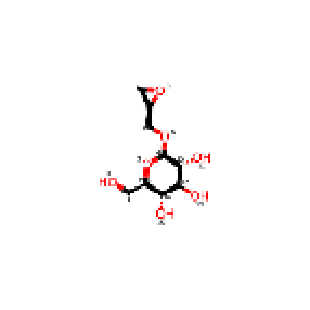 OC[C@H]1OC(OCC2CO2)[C@H](O)[C@@H](O)[C@@H]1O